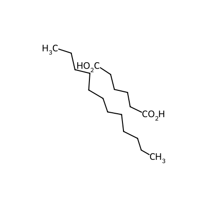 CCCCCCCCCCCC.O=C(O)CCCCC(=O)O